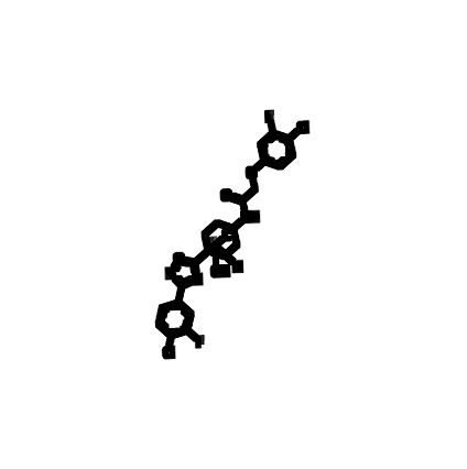 O=C(COc1ccc(Cl)c(F)c1)NC12CCC(c3nc(-c4ccc(Cl)c(F)c4)no3)(CC1)[C@@H](O)C2